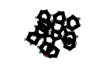 c1ccc(-c2c([Si](c3ccccc3)(c3ccccc3)c3ccccc3)c3c(n2-c2ccccc2)C(c2ccccc2)(c2ccccc2)c2ccccc2C3(c2ccccc2)c2ccccc2)cc1